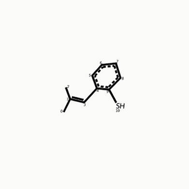 CC(C)=Cc1ccccc1S